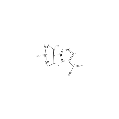 CC(C)C(c1cccc([N+](=O)[O-])c1)(C(C)C)P(=O)(O)O